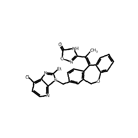 CCc1nc2c(Cl)ccnc2n1Cc1ccc2c(c1)COc1ccccc1/C2=C(\C)c1noc(=O)[nH]1